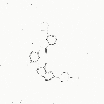 Cc1ccc(NC(=O)c2ccnc(N3CCCC3)c2)cc1-n1cnc2ccc(N3CCN(C)CC3)cc2c1=O